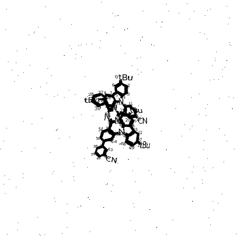 CC(C)(C)c1ccc2c(c1)c1cc(C(C)(C)C)ccc1n2-c1ccc(C#N)cc1-c1nc(-c2ccccc2)nc(-c2ccc(-c3cccc(C#N)c3)cc2-n2c3ccc(C(C)(C)C)cc3c3cc(C(C)(C)C)ccc32)n1